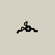 C=CCc1ccc(OCCC)c(OC)c1